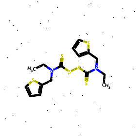 CCN(Cc1cccs1)C(=S)SSC(=S)N(CC)Cc1cccs1